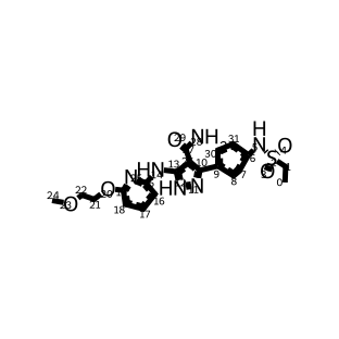 CCS(=O)(=O)Nc1ccc(-c2n[nH]c(Nc3cccc(OCCOC)n3)c2C(N)=O)cc1